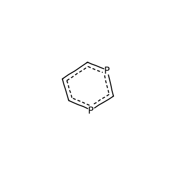 c1cpcpc1